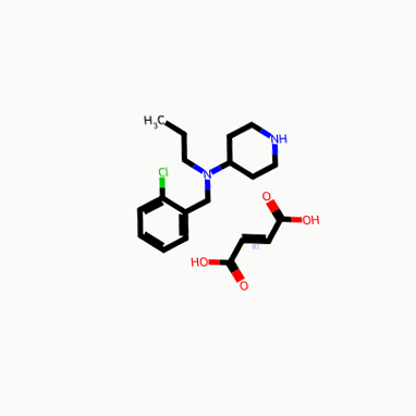 CCCN(Cc1ccccc1Cl)C1CCNCC1.O=C(O)/C=C/C(=O)O